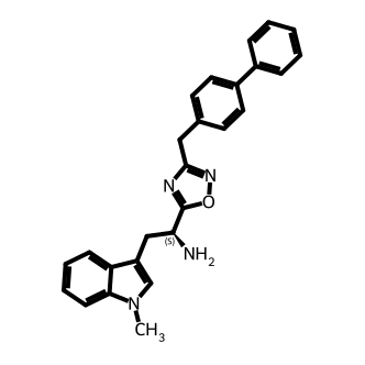 Cn1cc(C[C@H](N)c2nc(Cc3ccc(-c4ccccc4)cc3)no2)c2ccccc21